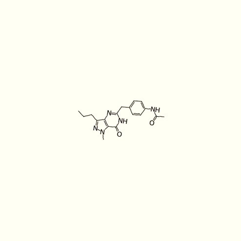 CCCc1nn(C)c2c(=O)[nH]c(Cc3ccc(NC(C)=O)cc3)nc12